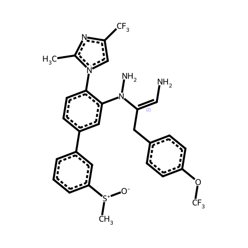 Cc1nc(C(F)(F)F)cn1-c1ccc(-c2cccc([S+](C)[O-])c2)cc1N(N)/C(=C\N)Cc1ccc(OC(F)(F)F)cc1